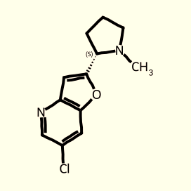 CN1CCC[C@H]1c1cc2ncc(Cl)cc2o1